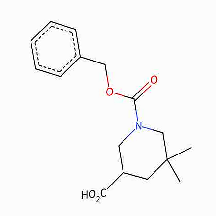 CC1(C)CC(C(=O)O)CN(C(=O)OCc2ccccc2)C1